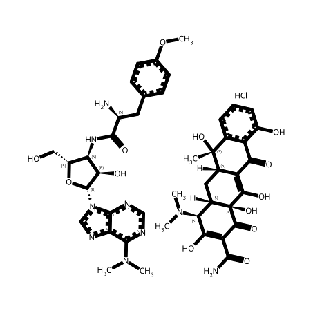 CN(C)[C@@H]1C(O)=C(C(N)=O)C(=O)[C@@]2(O)C(O)=C3C(=O)c4c(O)cccc4[C@@](C)(O)[C@H]3C[C@@H]12.COc1ccc(C[C@H](N)C(=O)N[C@H]2[C@@H](O)[C@H](n3cnc4c(N(C)C)ncnc43)O[C@@H]2CO)cc1.Cl